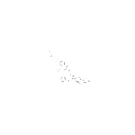 COc1c(N2CCN(C(=O)OC(C)OC(C)=O)C(C)C2)c(F)c(C)c2c(=O)c(C(=O)OC(C)(C)C(=O)[C@@]3(OC(=O)c4ccccc4)CC[C@H]4[C@@H]5CCC6=CC(=O)CC[C@]6(C)[C@H]5[C@@H](O)C[C@@]43C)c(C)n(C3CC3)c12